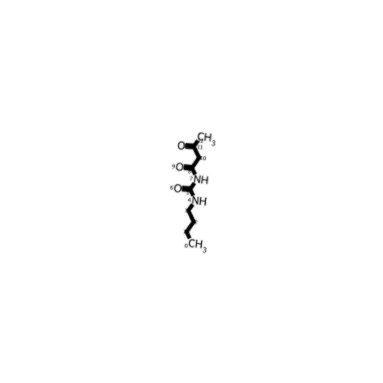 CCCCNC(=O)NC(=O)CC(C)=O